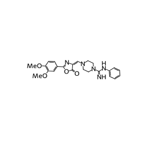 COc1ccc(C2=NC(=CN3CCN(C(=N)Nc4ccccc4)CC3)C(=O)O2)cc1OC